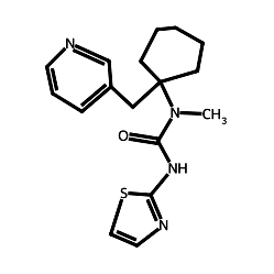 CN(C(=O)Nc1nccs1)C1(Cc2cccnc2)CCCCC1